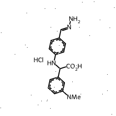 CNc1cccc(C(Nc2ccc(C=NN)cc2)C(=O)O)c1.Cl